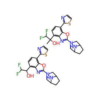 CC(O)(c1ccc(-c2nccs2)c2oc(N3CC4CCC(C3)N4)nc12)C(F)F.OC(c1ccc(-c2nccs2)c2oc(N3CC4CCC(C3)N4)nc12)C(F)F